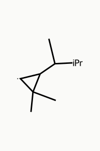 CC(C)C(C)C1[CH]C1(C)C